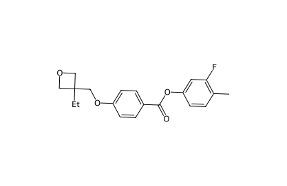 CCC1(COc2ccc(C(=O)Oc3ccc(C)c(F)c3)cc2)COC1